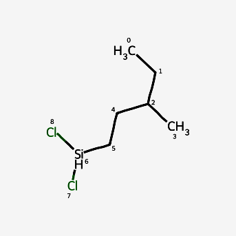 CCC(C)CC[SiH](Cl)Cl